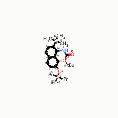 CC(C)[Si](Oc1ccc2ccc([Si](C)(C)C)c(NC(=O)OC(C)(C)C)c2c1)(C(C)C)C(C)C